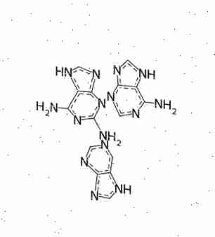 Nc1nc(N)c2[nH]cnc2n1.Nc1ncnc2nc[nH]c12.c1ncc2[nH]cnc2n1